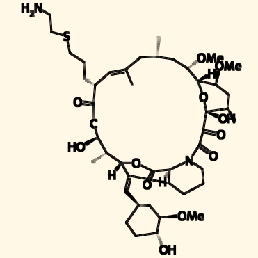 CO[C@H]1C[C@@H](C)C/C(C)=C/[C@@H](CCCSCCN)C(=O)C[C@H](O)[C@@H](C)[C@@H]2OC(=O)[C@@H]3C(CCCN3C(=O)C(=O)[C@]3(O)O[C@H]1[C@@H](OC)C[C@H]3C)/C2=C\[C@@H]1CC[C@@H](O)[C@H](OC)C1